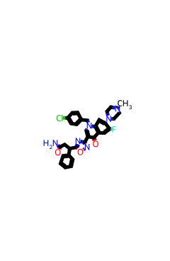 CN1CCN(c2cc3c(cc2F)c(=O)c(-c2noc(C(CC(N)=O)c4ccccc4)n2)cn3Cc2ccc(Cl)cc2)CC1